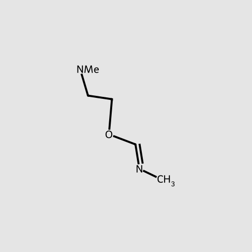 C/N=C/OCCNC